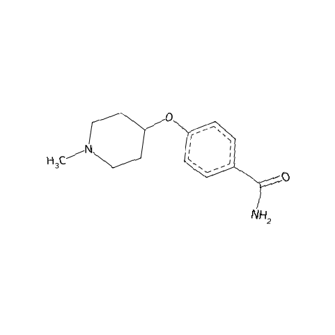 CN1CCC(Oc2ccc(C(N)=O)cc2)CC1